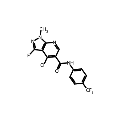 Cn1nc(F)c2c(Cl)c(C(=O)Nc3ccc(C(F)(F)F)cc3)cnc21